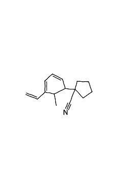 C=CC1=CC=CC(C2(C#N)CCCC2)C1C